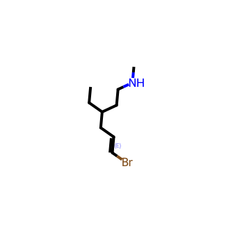 CCC(C/C=C/Br)CCNC